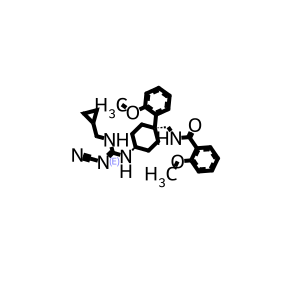 COc1ccccc1C(=O)NC[C@]1(c2ccccc2OC)CC[C@H](N/C(=N/C#N)NCC2CC2)CC1